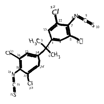 CC(C)(c1cc(Cl)c(N=C=S)c(Cl)c1)c1cc(Cl)c(N=C=S)c(Cl)c1